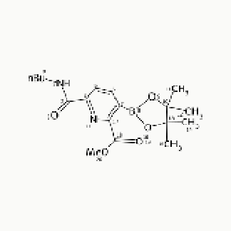 CCCCNC(=O)c1ccc(B2OC(C)(C)C(C)(C)O2)c(C(=O)OC)n1